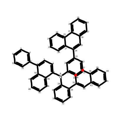 c1ccc(-c2ccc(N(c3cccc(-c4cc5ccccc5c5ccccc45)c3)c3ccccc3-c3ccc4ccccc4c3)c3ccccc23)cc1